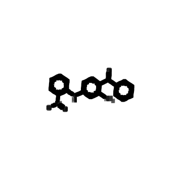 Nc1cc(Nc2ccccc2[N+](=O)[O-])ccc1C(=O)c1ccccc1